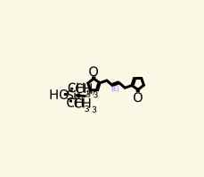 CC(C)(C[C@H]1C=C(C/C=C/CC2=CCCC2=O)C(=O)C1)[Si](C)(C)O